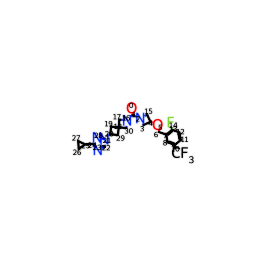 O=C(N1CC(OCc2cc(C(F)(F)F)ccc2F)C1)N1CC2(CC(n3cnc(C4CC4)n3)C2)C1